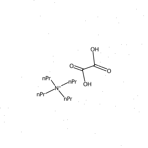 CCC[N+](CCC)(CCC)CCC.O=C(O)C(=O)O